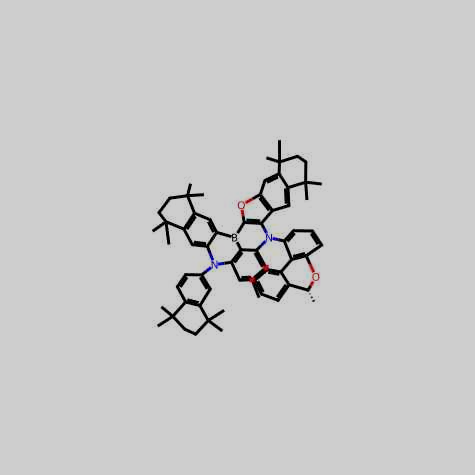 Cc1cc2c3c(c1)N(c1cccc4c1-c1ccccc1[C@@H](C)O4)c1c(oc4cc5c(cc14)C(C)(C)CCC5(C)C)B3c1cc3c(cc1N2c1ccc2c(c1)C(C)(C)CCC2(C)C)C(C)(C)CCC3(C)C